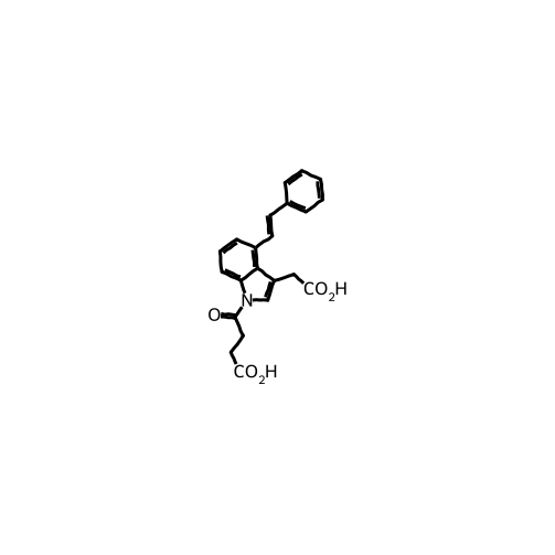 O=C(O)CCC(=O)n1cc(CC(=O)O)c2c(/C=C/c3ccccc3)cccc21